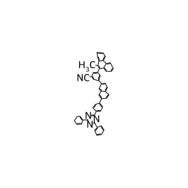 Cc1c(-c2cc(C#N)cc(-c3ccc4ccc(-c5ccc(-c6nc(C7=CCCC=C7)nc(-c7ccccc7)n6)cc5)cc4c3)c2)c2ccccc2c2ccccc12